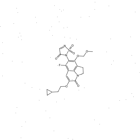 COCOc1c(N2C(=O)C=NS2(=O)=O)c(F)c2cc(OCCC3CC3)c(=O)n3c2c1CC3